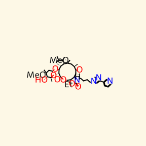 CC[C@H]1OC(=O)[C@H](C)[C@@H](O[C@H]2C[C@@](C)(OC)[C@@H](O)[C@H](C)O2)[C@H](C)[C@@H](C(C)=C(C)C)[C@](C)(OC)C[C@@H](C)C(=O)[C@H](C)[C@H]2N(CCCCn3cnc(-c4cccnc4)c3)C(=O)O[C@]12C